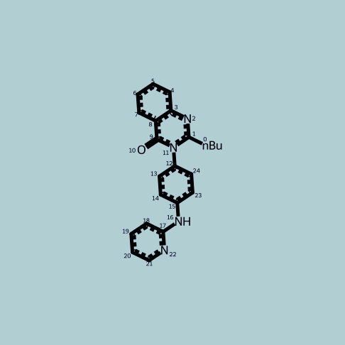 CCCCc1nc2ccccc2c(=O)n1-c1ccc(Nc2ccccn2)cc1